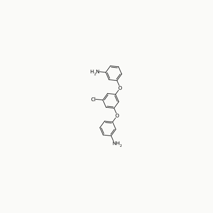 Nc1cccc(Oc2cc(Cl)cc(Oc3cccc(N)c3)c2)c1